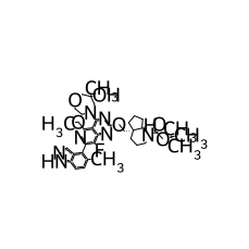 COc1nc(-c2c(C)ccc3[nH]ncc23)c(F)c2nc(OC[C@]34CCC[C@H]3N(C(=O)OC(C)(C)C)CCC4)nc(N3CCOC[C@@](C)(O)C3)c12